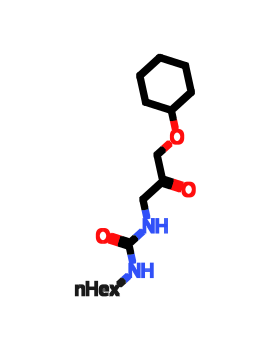 CCCCCCNC(=O)NCC(=O)COC1CCCCC1